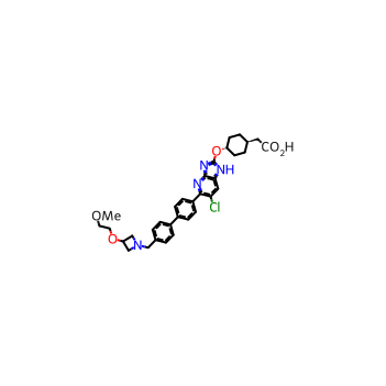 COCCOC1CN(Cc2ccc(-c3ccc(-c4nc5nc(O[C@H]6CC[C@H](CC(=O)O)CC6)[nH]c5cc4Cl)cc3)cc2)C1